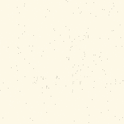 CC1(C)Cc2cccc(CN3CCC4(CC3)CCN(C(=O)c3c[nH]c(=O)cn3)CC4)c2O1.O=C(O)C(F)(F)F